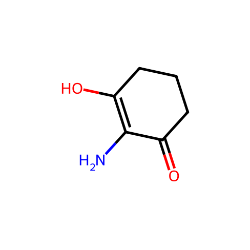 NC1=C(O)CCCC1=O